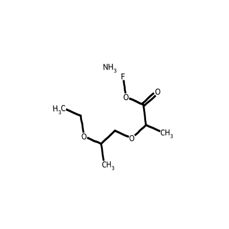 CCOC(C)COC(C)C(=O)OF.N